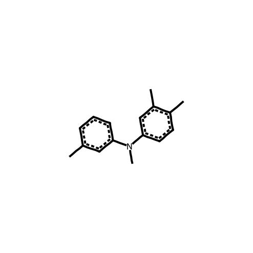 Cc1cccc(N(C)c2ccc(C)c(C)c2)c1